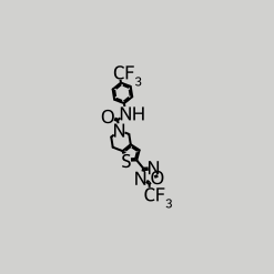 O=C(Nc1ccc(C(F)(F)F)cc1)N1CCc2sc(-c3noc(C(F)(F)F)n3)cc2C1